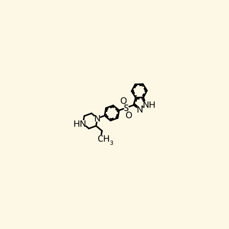 CCC1CNCCN1c1ccc(S(=O)(=O)c2n[nH]c3ccccc23)cc1